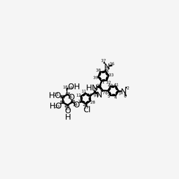 CN(C)c1ccc(-c2nc(-c3ccc(O[C@@H]4O[C@H](CO)[C@H](O)[C@H](O)[C@H]4O)c(Cl)c3)[nH]c2-c2ccc(N(C)C)cc2)cc1